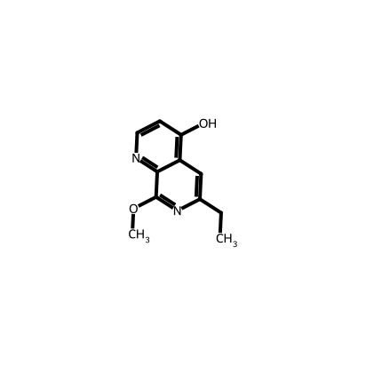 CCc1cc2c(O)ccnc2c(OC)n1